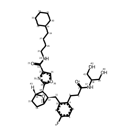 O=C(CCc1ccc(F)cc1C[C@H]1C2CC[C@@H](O2)[C@H]1c1nc(C(=O)NCCCCC2CCCCC2)co1)NC(CO)CO